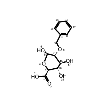 O=C(O)[C@H]1O[C@@H](O)[C@H](OCc2ccccc2)[C@@H](O)[C@@H]1O